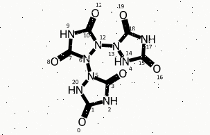 O=c1[nH]c(=O)n(-n2c(=O)[nH]c(=O)n2-n2[nH]c(=O)[nH]c2=O)[nH]1